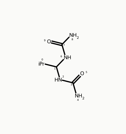 CC(C)C(NC(N)=O)NC(N)=O